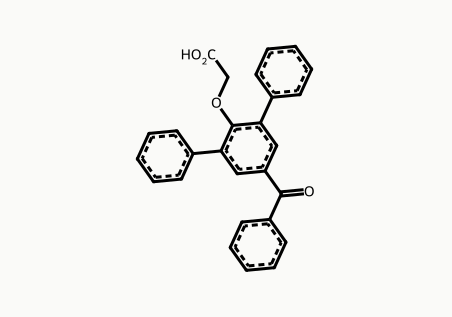 O=C(O)COc1c(-c2ccccc2)cc(C(=O)c2ccccc2)cc1-c1ccccc1